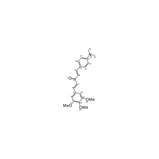 COc1cc(C=CC(=O)C=Cc2ccc(N(C)C)cc2)cc(OC)c1OC